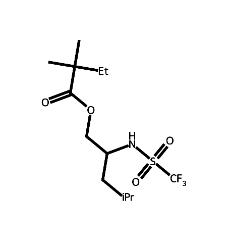 CCC(C)(C)C(=O)OCC(CC(C)C)NS(=O)(=O)C(F)(F)F